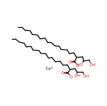 CCCCCCCCCCCCCCCCC(CC(O)CO)C(=O)[O-].CCCCCCCCCCCCCCCCC(CC(O)CO)C(=O)[O-].[Ca+2]